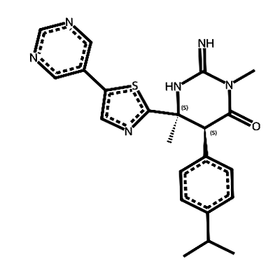 CC(C)c1ccc([C@@H]2C(=O)N(C)C(=N)N[C@]2(C)c2ncc(-c3cncnc3)s2)cc1